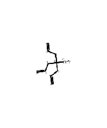 C=CCC(CC=C)(CC=C)CCC